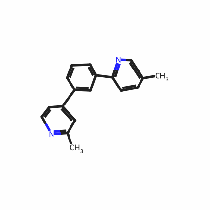 Cc1ccc(-c2cccc(-c3ccnc(C)c3)c2)nc1